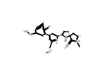 CCCOc1ccc(F)c(-c2cc(C)nc([C@H]3CC[C@@]4(CCN(C)C4=O)N3)c2)c1.Cl